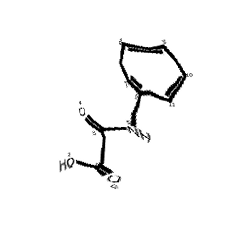 O=C(O)C(=O)Nc1c[c]ccc1